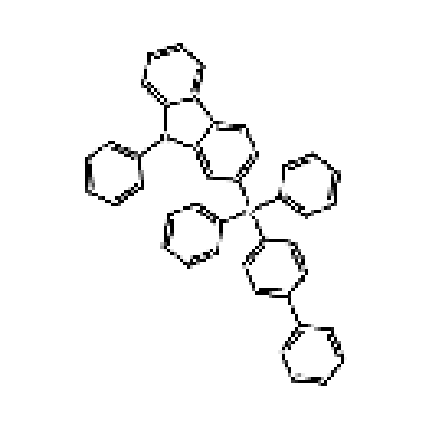 c1ccc(-c2ccc(S(c3ccccc3)(c3ccccc3)c3ccc4c5ccccc5n(-c5ccccc5)c4c3)cc2)cc1